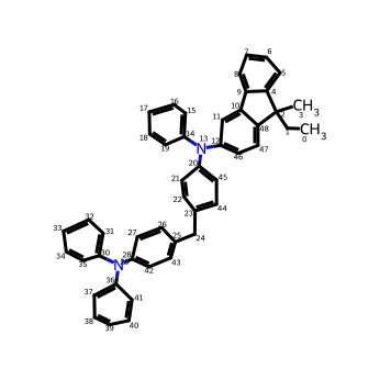 CCC1(C)c2ccccc2-c2cc(N(c3ccccc3)c3ccc(Cc4ccc(N(c5ccccc5)c5ccccc5)cc4)cc3)ccc21